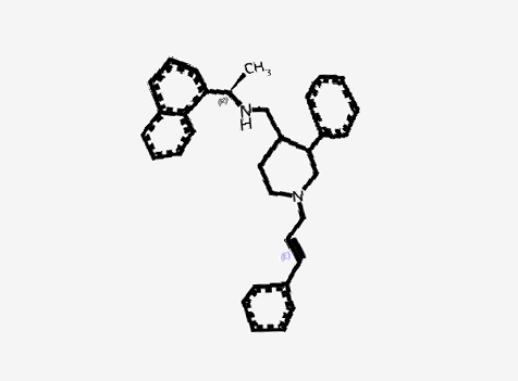 C[C@@H](NCC1CCN(C/C=C/c2ccccc2)CC1c1ccccc1)c1cccc2ccccc12